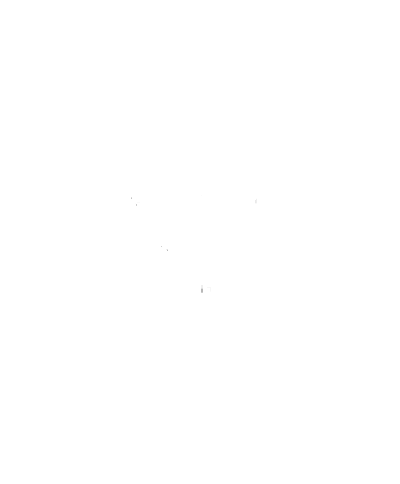 CC(C)c1[c]c(C(C)C)nc(C#N)c1